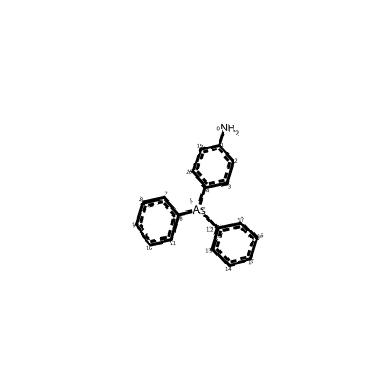 Nc1ccc([As](c2ccccc2)c2ccccc2)cc1